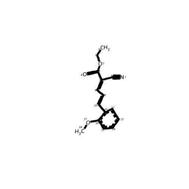 CCOC(=O)/C(C#N)=C/C=C/c1ccccc1OC